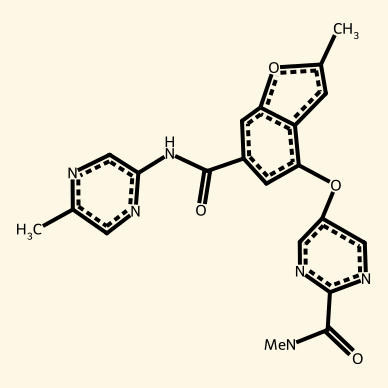 CNC(=O)c1ncc(Oc2cc(C(=O)Nc3cnc(C)cn3)cc3oc(C)cc23)cn1